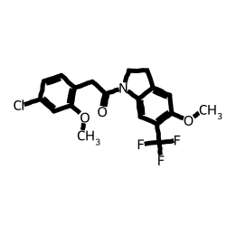 COc1cc(Cl)ccc1CC(=O)N1CCc2cc(OC)c(C(F)(F)F)cc21